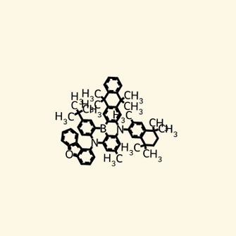 Cc1cc2c3c(c1)N(c1cccc4oc5ccccc5c14)c1ccc(C(C)(C)C)cc1B3c1cc3c(cc1N2c1cc2c(cc1C)C(C)(C)CCC2(C)C)C(C)(C)c1ccccc1C3(C)C